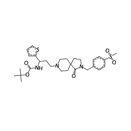 CC(C)(C)OC(=O)NC(CCN1CCC2(CC1)CCN(Cc1ccc(S(C)(=O)=O)cc1)C2=O)c1cccs1